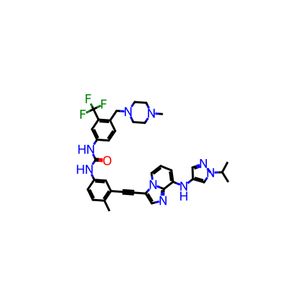 Cc1ccc(NC(=O)Nc2ccc(CN3CCN(C)CC3)c(C(F)(F)F)c2)cc1C#Cc1cnc2c(Nc3cnn(C(C)C)c3)cccn12